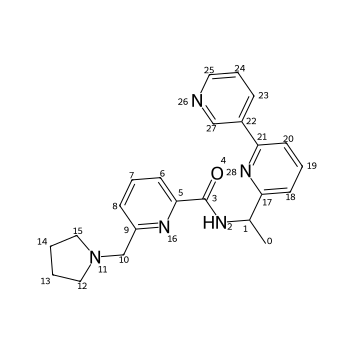 CC(NC(=O)c1cccc(CN2CCCC2)n1)c1cccc(-c2cccnc2)n1